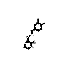 Cc1ccc(/C=N/Sc2nccnc2Cl)cc1C